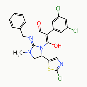 CN1CC(c2cnc(Cl)s2)N(/C(O)=C(\C=O)c2cc(Cl)cc(Cl)c2)/C1=N/Cc1ccccc1